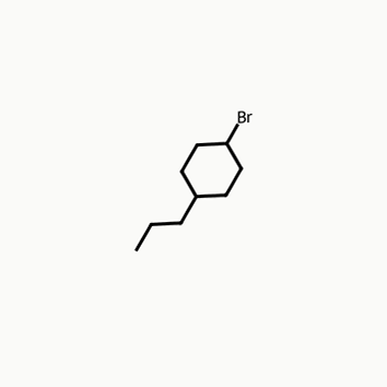 CCCC1CCC(Br)CC1